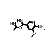 COc1cc(C(=N)OC(C)=N)cnc1N